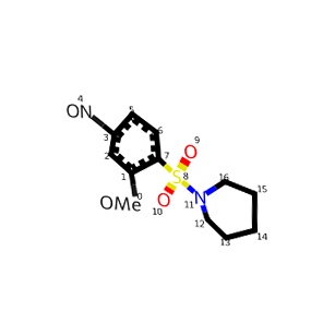 COc1cc(N=O)ccc1S(=O)(=O)N1CCCCC1